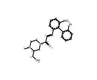 CC(C)c1ccccc1-c1c([N+](=O)[O-])[c]ccc1/C=C/C(=O)N1CCN(C)C(CO)C1